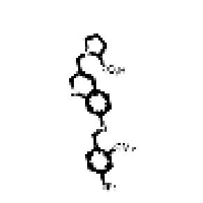 CCCc1ccc(COc2ccc3c(c2)OCC(CN2CCCC2C(=O)O)=C3)c(OC)c1